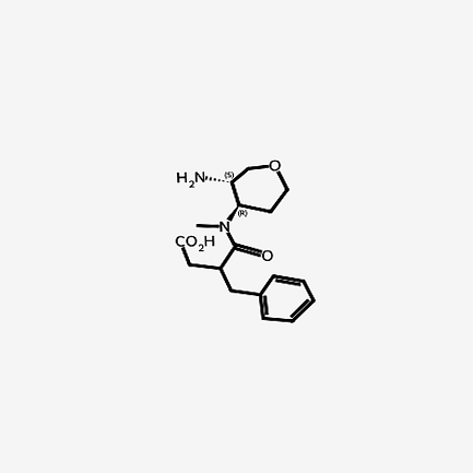 CN(C(=O)C(CC(=O)O)Cc1ccccc1)[C@@H]1CCOC[C@H]1N